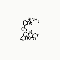 CC(C)C[C@H](C(=O)O)N(C)C(=O)C(CC(=O)c1cccc(S(N)(=O)=O)c1)Cc1ccccc1